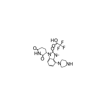 Cn1c(=O)n(C2CCC(=O)NC2=O)c2cccc(N3CCNCC3)c21.O=C(O)C(F)(F)F